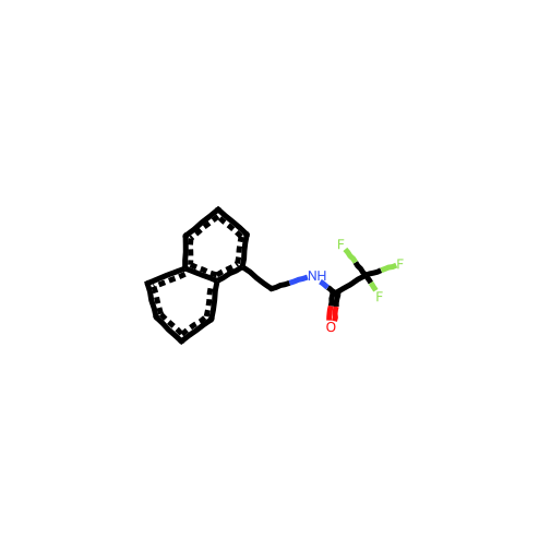 O=C(NCc1cccc2ccccc12)C(F)(F)F